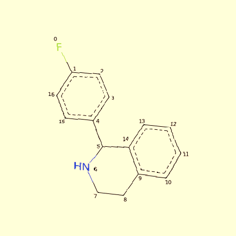 Fc1ccc(C2NCCc3ccccc32)cc1